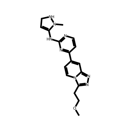 COCCc1nnc2cc(-c3ccnc(NC4=CCNN4C)n3)ccn12